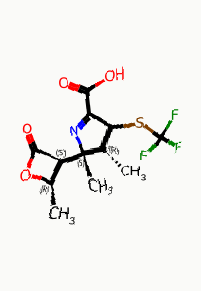 C[C@H]1OC(=O)[C@H]1[C@]1(C)N=C(C(=O)O)C(SC(F)(F)F)[C@@H]1C